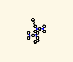 C(=Cc1ccc(N(c2ccc(N(c3ccccc3)c3ccccc3)cc2)c2cccc3c(N(c4ccc(N(c5ccccc5)c5ccccc5)cc4)C4CCC(/C=C\c5ccccc5)CC4)cccc23)cc1)c1ccccc1